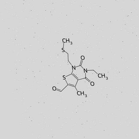 CCn1c(=O)c2c(C)c(C=O)sc2n(CCSC)c1=O